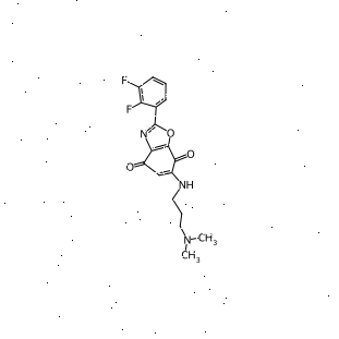 CN(C)CCCNC1=CC(=O)c2nc(-c3cccc(F)c3F)oc2C1=O